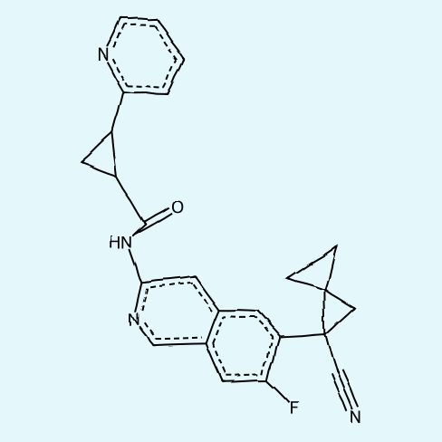 N#CC1(c2cc3cc(NC(=O)C4CC4c4ccccn4)ncc3cc2F)CC12CC2